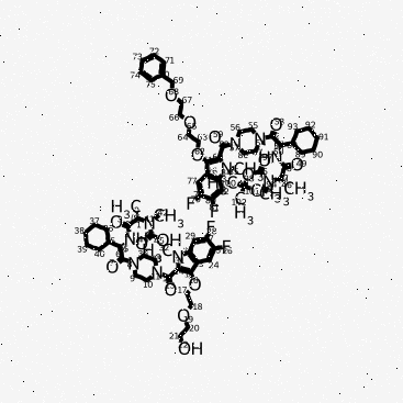 C[C@@H](C(=O)N[C@H](C(=O)N1CCN(C(=O)c2c(OCCOCCO)c3cc(F)c(F)cc3n2C)CC1)C1CCCCC1)N(C)C(=O)O.C[C@@H](C(=O)N[C@H](C(=O)N1CCN(C(=O)c2c(OCCOCCOCc3ccccc3)c3cc(F)c(F)cc3n2C)CC1)C1CCCCC1)N(C)C(=O)OC(C)(C)C